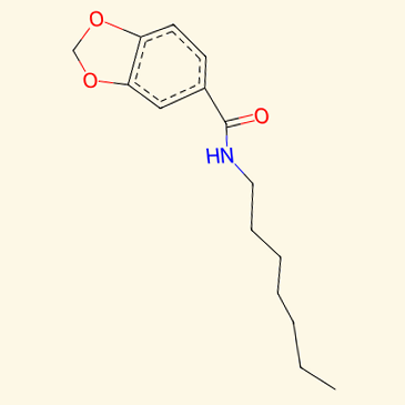 CCCCCCCNC(=O)c1ccc2c(c1)OCO2